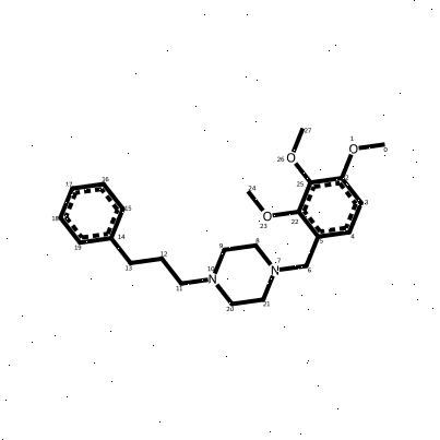 COc1ccc(CN2CCN(CCCc3ccccc3)CC2)c(OC)c1OC